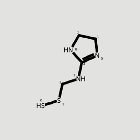 SSCNC1=NCCN1